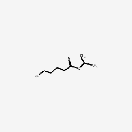 CCCC[CH]C(=O)OC(C)C